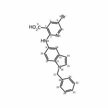 O=C(O)c1cc(Br)cnc1Nc1ccc2c(ccn2Cc2ccccc2)c1